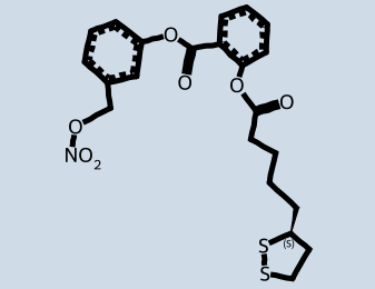 O=C(CCCC[C@H]1CCSS1)Oc1ccccc1C(=O)Oc1cccc(CO[N+](=O)[O-])c1